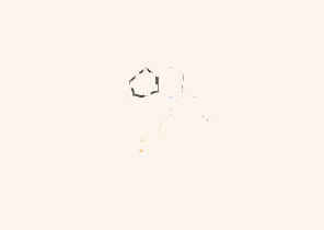 Cc1ccc2c(c1)N(CCSS(=O)(=O)[O-])C(C)CC2.[Na+]